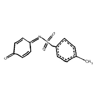 Cc1ccc(S(=O)(=O)N=C2C=CC(=O)C=C2)cc1